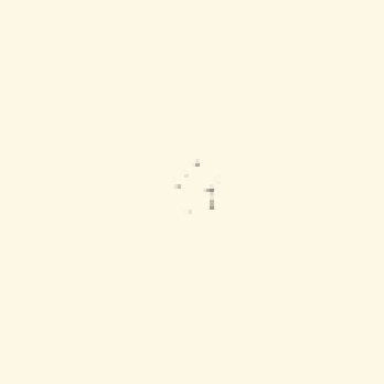 CCC(=O)P(=O)(OCC(C)C)OCC(C)C